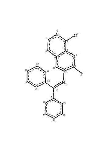 Cc1cc2c(Cl)nccc2cc1N=C(c1ccccc1)c1ccccc1